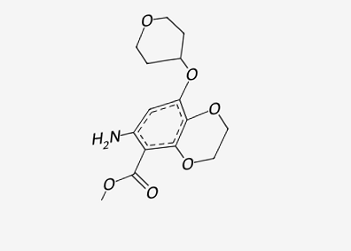 COC(=O)c1c(N)cc(OC2CCOCC2)c2c1OCCO2